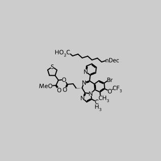 CCCCCCCCCCCCCCCCCC(=O)O.COC(=O)C(OC(=O)CC[C@@H]1N=C(c2ccccn2)c2cc(Br)c(OC(F)(F)F)c(C)c2-n2c(C)cnc21)C1CCSC1